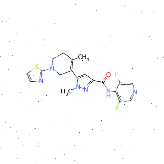 CC1=C(c2cc(C(=O)Nc3c(F)cncc3F)nn2C)CN(c2nccs2)CC1